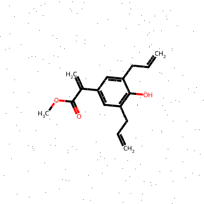 C=CCc1cc(C(=C)C(=O)OC)cc(CC=C)c1O